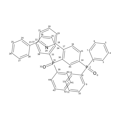 O=P(c1ccccc1)(c1ccccc1)c1ccc(-c2cccc(-c3ccccc3)n2)c(P(=O)(c2ccccc2)c2ccccc2)c1